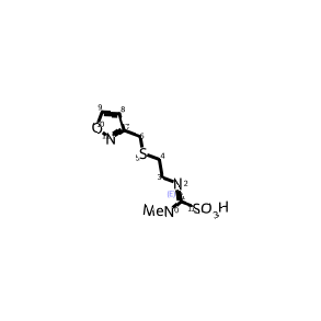 CN/C(=N\CCSCc1ccon1)S(=O)(=O)O